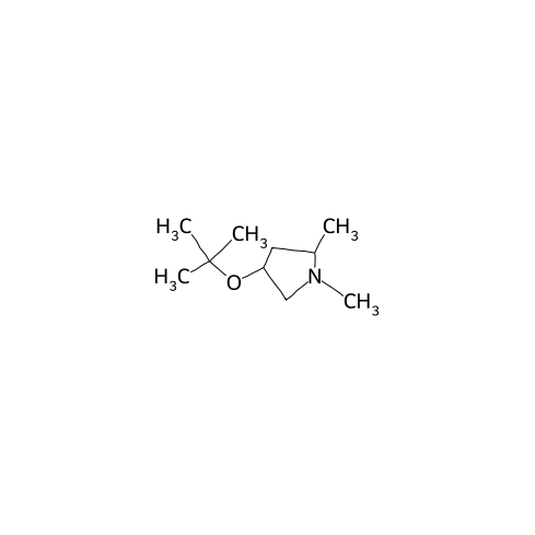 CC1CC(OC(C)(C)C)CN1C